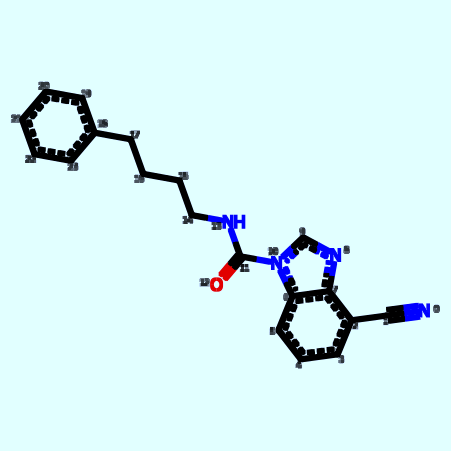 N#Cc1cccc2c1ncn2C(=O)NCCCCc1ccccc1